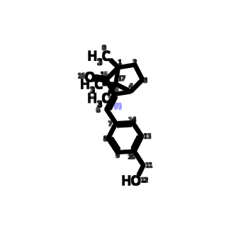 CC12CCC(/C(=C\c3ccc(CO)cc3)C1=O)C2(C)C